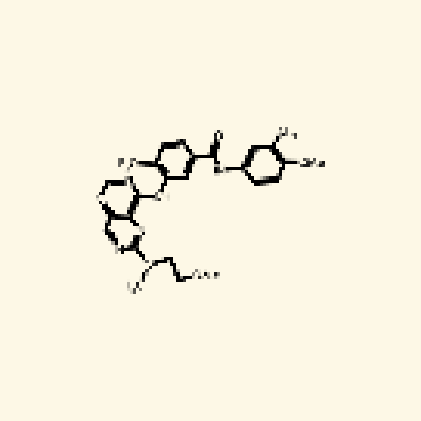 COCCN(C)c1ncc2ncnc(Nc3cc(C(=O)Nc4ccc(OC)c(C(F)(F)F)c4)ccc3C(F)(F)F)c2n1